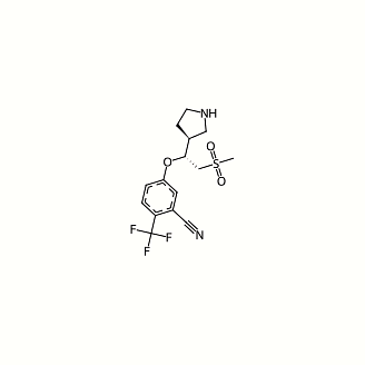 CS(=O)(=O)C[C@H](Oc1ccc(C(F)(F)F)c(C#N)c1)[C@H]1CCNC1